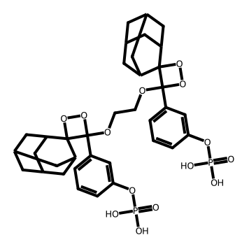 O=P(O)(O)Oc1cccc(C2(OCCOC3(c4cccc(OP(=O)(O)O)c4)OOC34C3CC5CC(C3)CC4C5)OOC23C2CC4CC(C2)CC3C4)c1